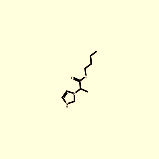 CCCCOC(=O)C(C)N1C=CNC1